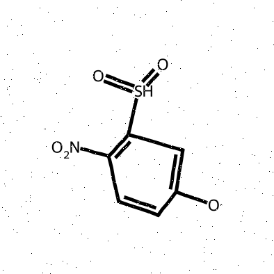 [O]c1ccc([N+](=O)[O-])c([SH](=O)=O)c1